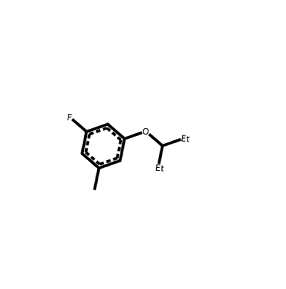 CCC(CC)Oc1cc(C)cc(F)c1